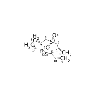 C=CCS(=O)(=O)CC=C.C=CCSCC=C